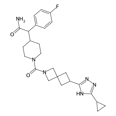 NC(=O)C(c1ccc(F)cc1)C1CCN(C(=O)N2CC3(CC(c4nnc(C5CC5)[nH]4)C3)C2)CC1